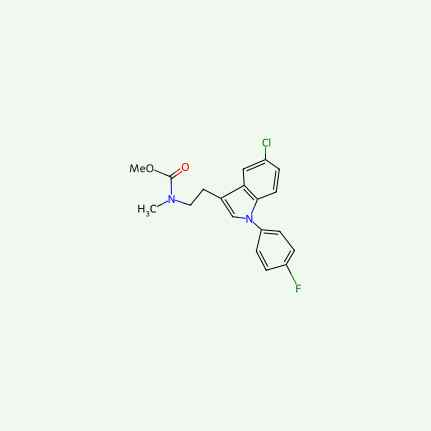 COC(=O)N(C)CCc1cn(-c2ccc(F)cc2)c2ccc(Cl)cc12